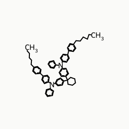 CCCCCCc1ccc(-c2ccc(N(c3ccccc3)c3ccc(C4(c5ccc(N(c6ccccc6)c6ccc(-c7ccc(CCCCCC)cc7)cc6)cc5)CCCCC4)cc3)cc2)cc1